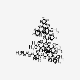 CC[C@H](C)[C@@H](C(CC(=O)N1CCC[C@H]1C(OC)[C@@H](C)C(=O)NC(Cc1ccccc1)c1nccs1)OC)N(C)C(=O)C(NC(=O)[C@H](C(C)C)N(C)C(=O)CCNC(=O)C(N)CCCCN)C(C)C